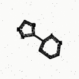 [c]1ncccc1-c1nnco1